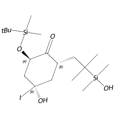 CC(C)(C[C@@H]1C[C@@](O)(I)C[C@@H](O[Si](C)(C)C(C)(C)C)C1=O)[Si](C)(C)O